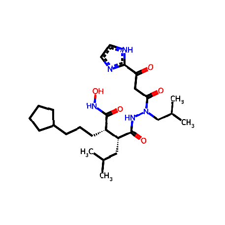 CC(C)C[C@@H](C(=O)NN(CC(C)C)C(=O)CC(=O)c1ncc[nH]1)[C@H](CCCC1CCCC1)C(=O)NO